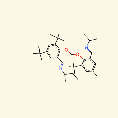 CCC(C)/N=C/c1cc(C(C)(C)C)cc(C(C)(C)C)c1OCOc1c(/C=N/C(C)C)cc(C)cc1C(C)(C)C